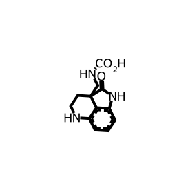 O=C(O)NCC12CCNc3cccc(c31)NC2=O